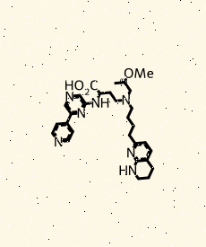 CO[C@H](C)CN(CCCCc1ccc2c(n1)NCCC2)CCC(Nc1cncc(-c2ccncc2)n1)C(=O)O